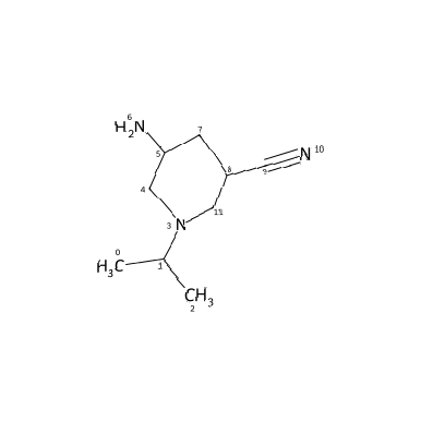 CC(C)N1CC(N)CC(C#N)C1